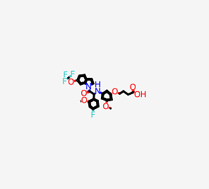 COc1cc(NC(C(=O)n2ccc3ccc(OC(F)(F)F)cc32)c2ccc(F)cc2OC)cc(OCCCC(=O)O)c1